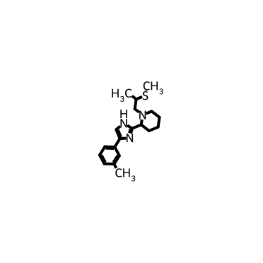 CSC(C)CN1CCCCC1c1nc(-c2cccc(C)c2)c[nH]1